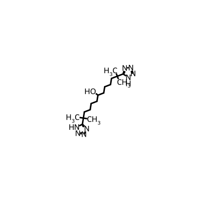 CC(C)(CCCCC(O)CCCCC(C)(C)c1nnn[nH]1)c1nnn[nH]1